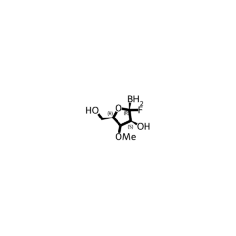 B[C@]1(F)O[C@H](CO)C(OC)[C@@H]1O